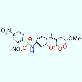 COC(=O)Cc1c(C)c2ccc(NS(=O)(=O)c3ccc([N+](=O)[O-])cc3[N+](=O)[O-])cc2oc1=O